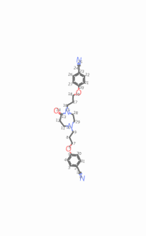 N#Cc1ccc(OCCCN2CCC(=O)N(CCCOc3ccc(C#N)cc3)CC2)cc1